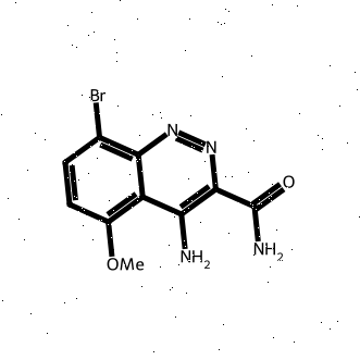 COc1ccc(Br)c2nnc(C(N)=O)c(N)c12